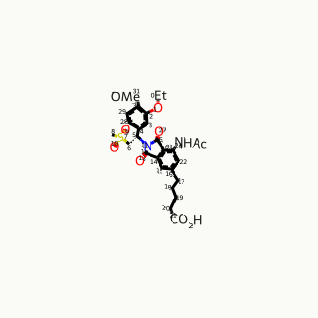 CCOc1cc([C@@H](CS(C)(=O)=O)N2C(=O)c3cc(CCCCC(=O)O)cc(NC(C)=O)c3C2=O)ccc1OC